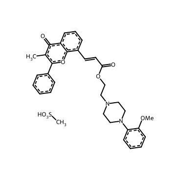 COc1ccccc1N1CCN(CCOC(=O)C=Cc2cccc3c(=O)c(C)c(-c4ccccc4)oc23)CC1.CS(=O)(=O)O